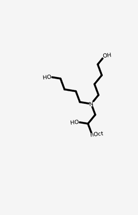 CCCCCCCCC(O)CN(CCCCO)CCCCO